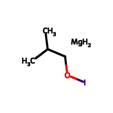 CC(C)COI.[MgH2]